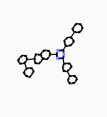 c1ccc(-c2ccc(-c3nc(-c4ccc(-c5ccccc5)cc4)nc(-c4ccc5cc(-c6ccccc6-c6ccccc6)ccc5c4)n3)cc2)cc1